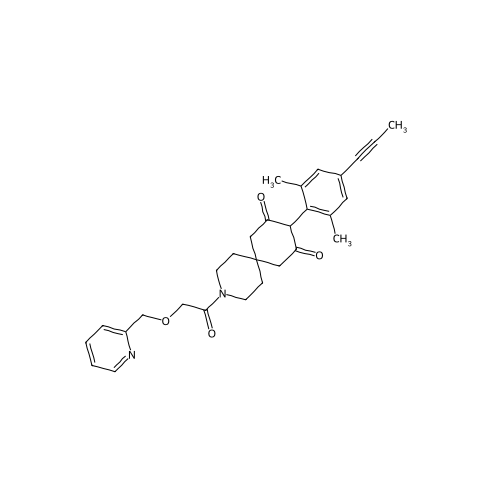 CC#Cc1cc(C)c(C2C(=O)CC3(CCN(C(=O)COCc4ccccn4)CC3)CC2=O)c(C)c1